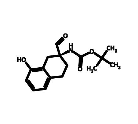 CC(C)(C)OC(=O)N[C@@]1(C=O)CCc2cccc(O)c2C1